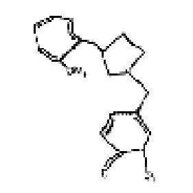 COc1ccccc1C1CCN(Cc2ccc(=O)n(C(C)C)c2)C1